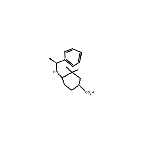 C[C@H](NC1CCN(C(=O)O)CC1(C)C)c1ccccc1